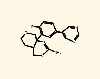 NC1=NC2(c3cc(-c4cncnc4)ccc3F)COCCC2CS1